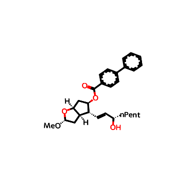 CCCCC[C@H](O)/C=C/[C@@H]1[C@H]2C[C@H](OC)O[C@H]2C[C@H]1OC(=O)c1ccc(-c2ccccc2)cc1